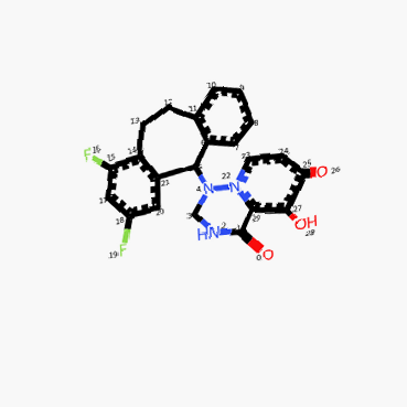 O=C1NCN(C2c3ccccc3CCc3c(F)cc(F)cc32)n2ccc(=O)c(O)c21